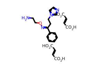 NCCON=C(CCn1ccnc1)c1ccccc1.O=C(O)C=CC(=O)O.O=C(O)C=CC(=O)O